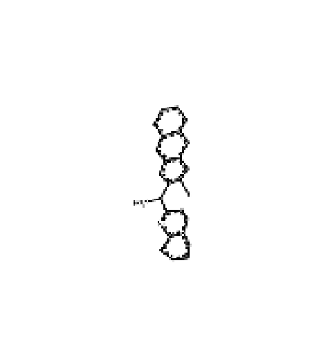 Cc1cc2cc3ccccc3cc2cc1C(c1ccc2ccccc2n1)S(=O)(=O)O